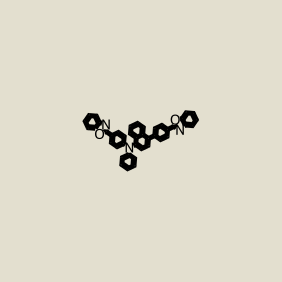 c1ccc(N(c2ccc(-c3nc4ccccc4o3)cc2)c2ccc(-c3ccc(-c4nc5ccccc5o4)cc3)c3ccccc23)cc1